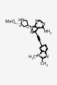 COC[C@H]1C[C@H](n2nc(C#Cc3ccc4nc(C)n(C)c4c3)c3c(N)ncnc32)CN1